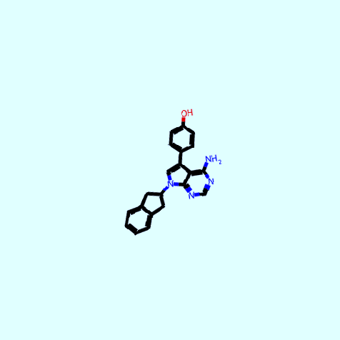 Nc1ncnc2c1c(-c1ccc(O)cc1)cn2C1Cc2ccccc2C1